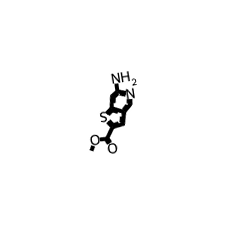 COC(=O)c1cc2cnc(N)cc2s1